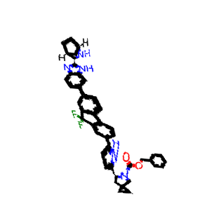 O=C(OCc1ccccc1)N1CC2(CC2)C[C@H]1c1ccc(-c2ccc3c(c2)C(F)(F)c2cc(-c4ccc5nc([C@H]6N[C@@H]7CC[C@H]6C7)[nH]c5c4)ccc2-3)[nH]1